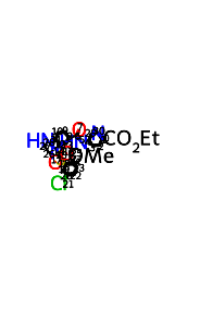 CCOC(=O)c1ccc(NC(=O)c2ccc3c(c2)N(S(=O)(=O)c2cc(Cl)ccc2OC)CCN3)cn1